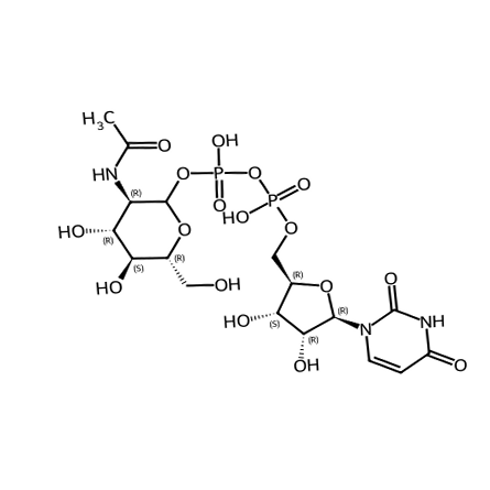 CC(=O)N[C@H]1C(OP(=O)(O)OP(=O)(O)OC[C@H]2O[C@@H](n3ccc(=O)[nH]c3=O)[C@H](O)[C@@H]2O)O[C@H](CO)[C@@H](O)[C@@H]1O